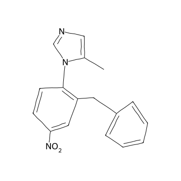 Cc1cncn1-c1ccc([N+](=O)[O-])cc1Cc1ccccc1